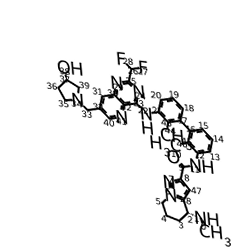 CN[C@@H]1CCCn2nc(C(=O)Nc3cccc(-c4cccc(Nc5nc(C(F)F)nc6cc(CN7CC[C@@H](O)C7)cnc56)c4C)c3C)cc21